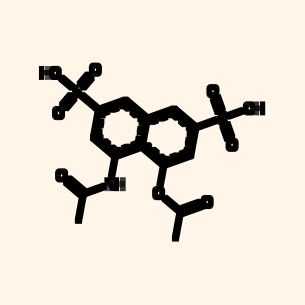 CC(=O)Nc1cc(S(=O)(=O)O)cc2cc(S(=O)(=O)O)cc(OC(C)=O)c12